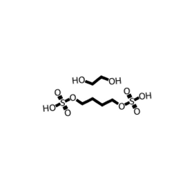 O=S(=O)(O)OCCCCOS(=O)(=O)O.OCCO